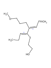 C=C/C=C(CCCOC)/C(=C/CC)SCCO